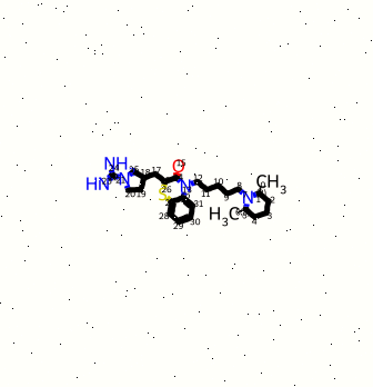 C[C@@H]1CCC[C@H](C)N1CCCCCN1C(=O)C(CC2CCN(C(=N)N)C2)Sc2ccccc21